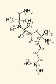 CCN(C(C)(C)CN)S(=O)(=O)N1C[C@H](CCCB(O)O)[C@@](C)(N)C1